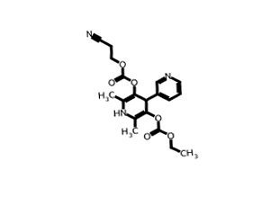 CCOC(=O)OC1=C(C)NC(C)=C(OC(=O)OCCC#N)C1c1cccnc1